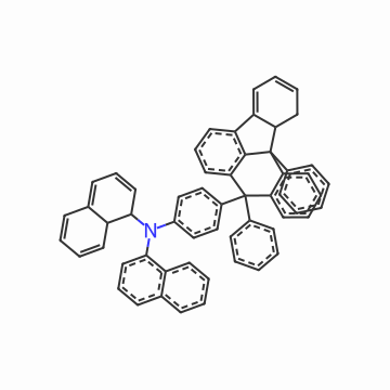 C1=CCC2C(=C1)c1cccc3c1C2(c1ccccc1)c1ccccc1C3(c1ccccc1)c1ccc(N(c2cccc3ccccc23)C2C=CC=C3C=CC=CC32)cc1